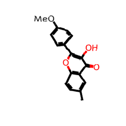 COc1ccc(-c2oc3ccc(C)cc3c(=O)c2O)cc1